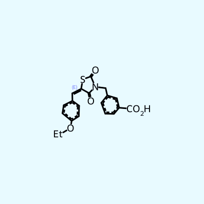 CCOc1ccc(/C=C2/SC(=O)N(Cc3cccc(C(=O)O)c3)C2=O)cc1